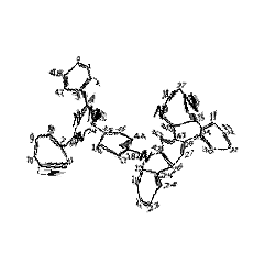 c1ccc(-c2nc(-c3ccccc3)nc(-c3ccc(-n4c5ccccc5c5cc6c7ccccc7c7nccnc7c6cc54)cc3)n2)cc1